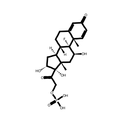 C[C@]12C=CC(=O)C=C1CC[C@H]1[C@@H]3C[C@@H](O)[C@](O)(C(=O)COP(=O)(O)O)[C@@]3(C)C[C@H](O)[C@@]12F